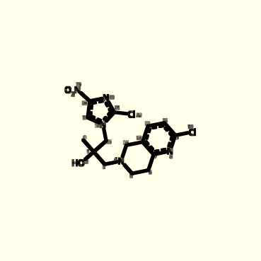 CC(O)(CN1CCc2nc(Cl)ccc2C1)Cn1cc([N+](=O)[O-])nc1Cl